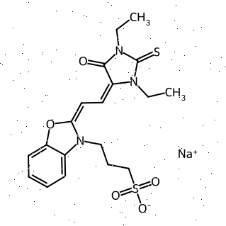 CCN1C(=O)C(=CC=C2Oc3ccccc3N2CCCS(=O)(=O)[O-])N(CC)C1=S.[Na+]